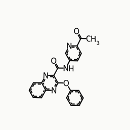 CC(=O)c1ccc(NC(=O)c2nc3ccccc3nc2Oc2ccccc2)cn1